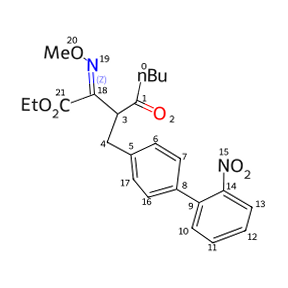 CCCCC(=O)C(Cc1ccc(-c2ccccc2[N+](=O)[O-])cc1)/C(=N/OC)C(=O)OCC